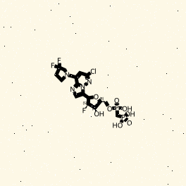 O=P(O)(O)CP(=O)(O)OC[C@H]1OC(c2cnc3c(N4CCC(F)(F)C4)cc(Cl)nn23)[C@@H](F)[C@@H]1O